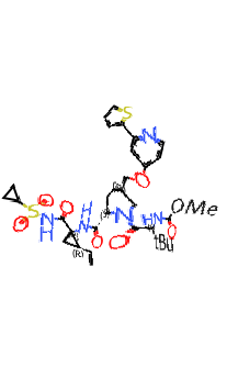 C=C[C@H]1C[C@]1(NC(=O)[C@@H]1C[C@@H](COc2ccnc(-c3cccs3)c2)CN1C(=O)[C@@H](NC(=O)OC)C(C)(C)C)C(=O)NS(=O)(=O)C1CC1